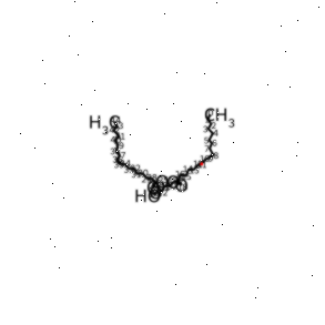 CCCCCCCC/C=C\CCCCCCCC(=O)OCC(COO)OC(=O)CCCCCCC/C=C\CCCCCCCC